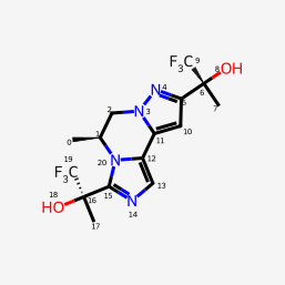 C[C@H]1Cn2nc([C@@](C)(O)C(F)(F)F)cc2-c2cnc([C@@](C)(O)C(F)(F)F)n21